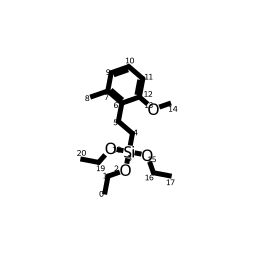 CCO[Si](CCc1c(C)cccc1OC)(OCC)OCC